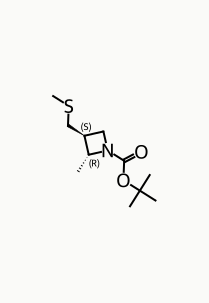 CSC[C@H]1CN(C(=O)OC(C)(C)C)[C@@H]1C